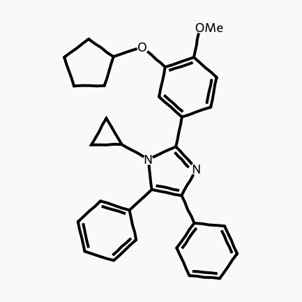 COc1ccc(-c2nc(-c3ccccc3)c(-c3ccccc3)n2C2CC2)cc1OC1CCCC1